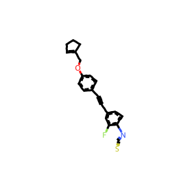 Fc1cc(C#Cc2ccc(OCC3=CCCC3)cc2)ccc1N=C=S